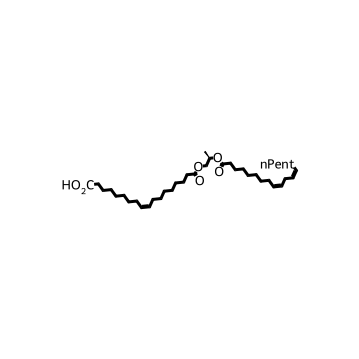 CCCCC/C=C\C/C=C\CCCCCCCC(=O)O[C@H](C)COC(=O)CCCCCCC/C=C\CCCCCCCC(=O)O